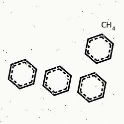 C.c1ccccc1.c1ccccc1.c1ccccc1.c1ccccc1